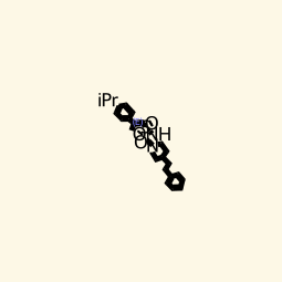 C/C(=C\S(=O)(=O)NC(=O)N1CCC(CCc2ccccc2)CC1)c1ccc(C(C)C)cc1